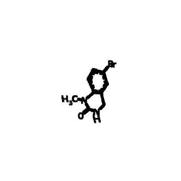 CN1C(=O)NCc2cc(Br)ccc21